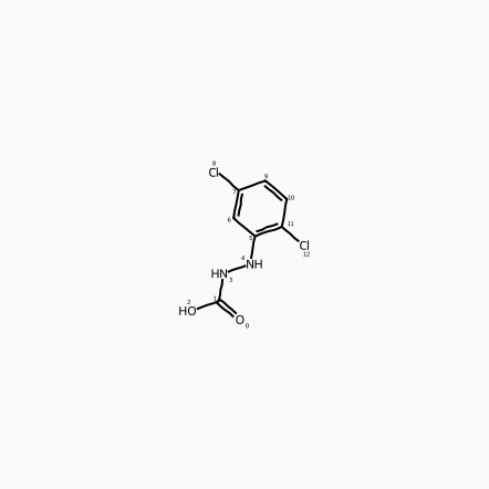 O=C(O)NNc1cc(Cl)ccc1Cl